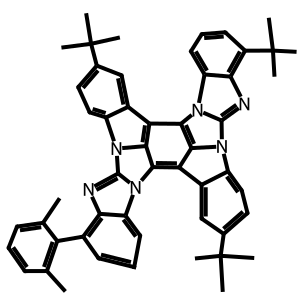 Cc1cccc(C)c1-c1cccc2c1nc1n2c2c3c4cc(C(C)(C)C)ccc4n4c3c(c3c5cc(C(C)(C)C)ccc5n1c32)n1c2cccc(C(C)(C)C)c2nc14